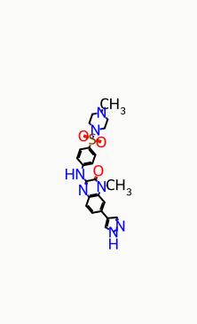 CN1CCN(S(=O)(=O)c2ccc(Nc3nc4ccc(-c5cn[nH]c5)cc4n(C)c3=O)cc2)CC1